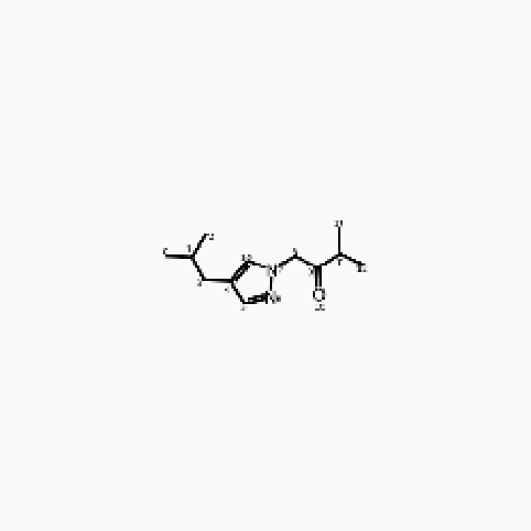 CC(C)Cc1cnn(CC(=O)C(C)C)c1